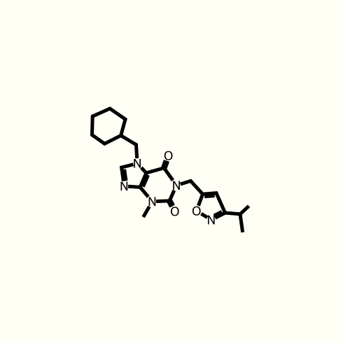 CC(C)c1cc(Cn2c(=O)c3c(ncn3CC3CCCCC3)n(C)c2=O)on1